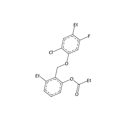 CCC(=O)Oc1cccc(CC)c1COc1cc(F)c(CC)cc1Cl